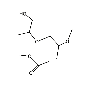 COC(C)=O.COC(C)COC(C)CO